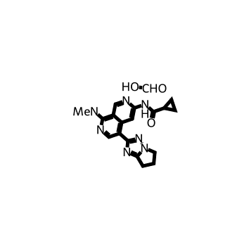 CNc1ncc(-c2nc3n(n2)CCC3)c2cc(NC(=O)C3CC3)ncc12.O=CO